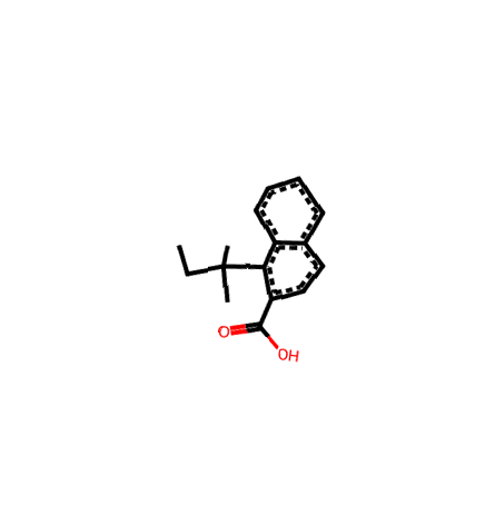 CCC(C)(C)c1c(C(=O)O)ccc2ccccc12